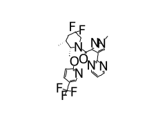 C[C@@H]1CC(F)(F)CN(C(=O)c2nn(C)cc2-c2ncccn2)[C@@H]1COc1ccc(C(F)(F)F)cn1